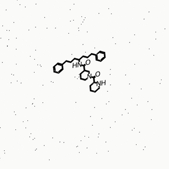 O=C(NC(CCCc1ccccc1)CCCc1ccccc1)C1CCCN(C(=O)C2CCCCN2)C1